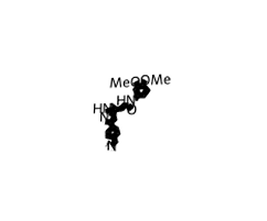 COc1ccc(CNC(=O)/C=C/c2c[nH]c3ncc(-c4ccc(CN(C)C)cc4)cc23)cc1OC